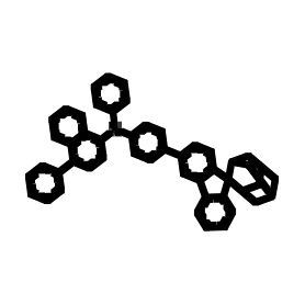 c1ccc(-c2ccc(N(c3ccccc3)c3ccc(-c4ccc5c(c4)-c4ccccc4C54C5CC6CC(C5)CC4C6)cc3)c3ccccc23)cc1